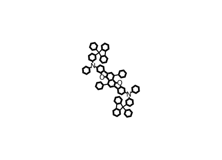 c1ccc(-c2cc3c4ccc(N(c5ccccc5)c5cccc(C6(c7ccccc7)c7ccccc7-c7ccccc76)c5)cc4oc3c3c(-c4ccccc4)cc4c5ccc(N(c6ccccc6)c6cccc(C7(c8ccccc8)c8ccccc8-c8ccccc87)c6)cc5oc4c23)cc1